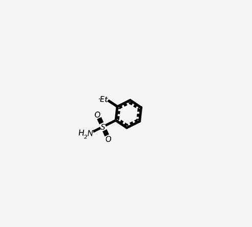 C[CH]c1ccccc1S(N)(=O)=O